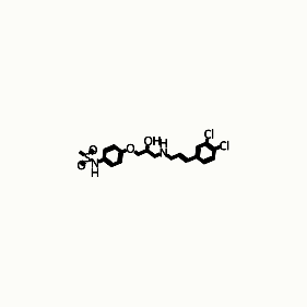 CS(=O)(=O)Nc1ccc(OCC(O)CNC/C=C/c2ccc(Cl)c(Cl)c2)cc1